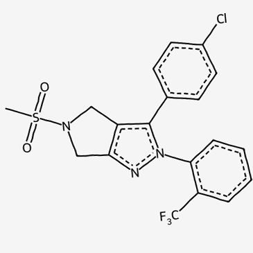 CS(=O)(=O)N1Cc2nn(-c3ccccc3C(F)(F)F)c(-c3ccc(Cl)cc3)c2C1